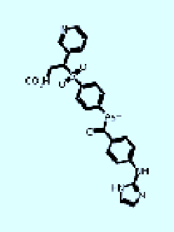 O=C(O)CC(c1cccnc1)S(=O)(=O)c1ccc([AsH]C(=O)c2ccc(Nc3ncc[nH]3)cc2)cc1